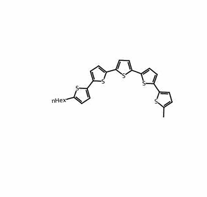 CCCCCCc1ccc(-c2ccc(-c3ccc(-c4ccc(-c5ccc(C)s5)s4)s3)s2)s1